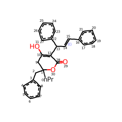 CCCC1(Cc2ccccc2)CC(O)=C(C(/C=C/c2ccccc2)c2ccccc2)C(=O)O1